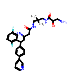 CC(C)(CNC(=O)CC(N)CC(c1ccc(-c2cccnc2)cc1)c1cc(F)ccc1F)CNC(=O)C(O)CN